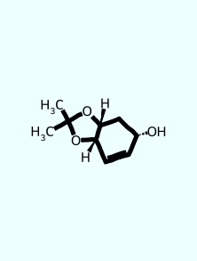 CC1(C)O[C@H]2C=C[C@@H](O)C[C@H]2O1